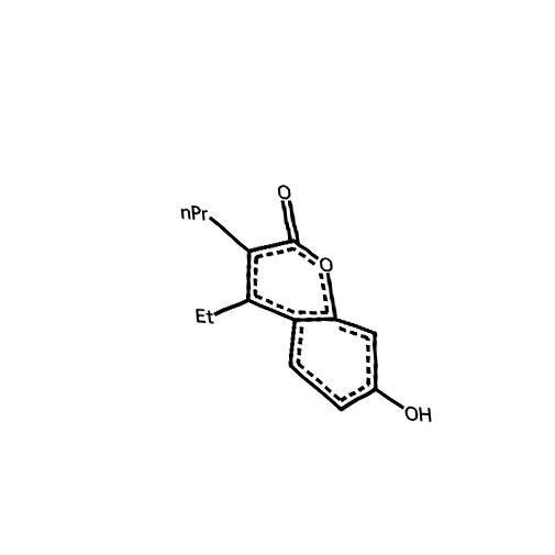 CCCc1c(CC)c2ccc(O)cc2oc1=O